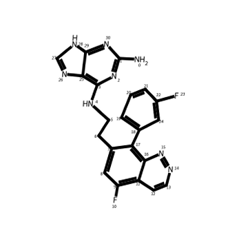 Nc1nc(NCCc2cc(F)c3ccnnc3c2-c2cccc(F)c2)c2nc[nH]c2n1